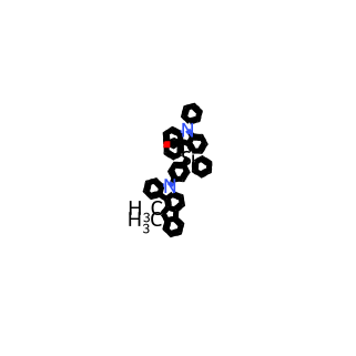 CC1(C)c2ccccc2-c2ccc3c(c21)c1ccccc1n3-c1ccc([Si](c2ccccc2)(c2ccccc2)c2cccc3c2c2ccccc2n3-c2ccccc2)cc1